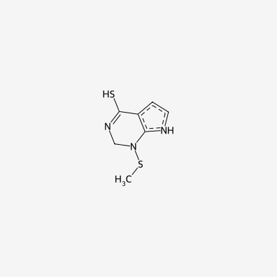 CSN1CN=C(S)c2cc[nH]c21